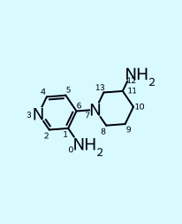 Nc1cnccc1N1CCCC(N)C1